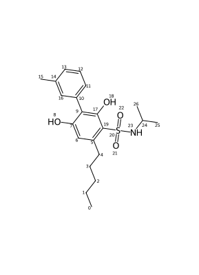 CCCCCc1cc(O)c(-c2cccc(C)c2)c(O)c1S(=O)(=O)NC(C)C